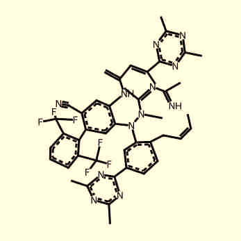 C=C(/C=C(\C)c1nc(C)nc(C)n1)Nc1cc(C#N)c(-c2c(C(F)(F)F)cccc2C(F)(F)F)cc1N(c1cc(-c2nc(C)nc(C)n2)ccc1C/C=C\C)N(C)/C(C)=N\C(C)=N